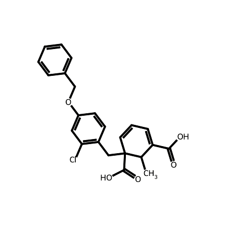 CC1C(C(=O)O)=CC=CC1(Cc1ccc(OCc2ccccc2)cc1Cl)C(=O)O